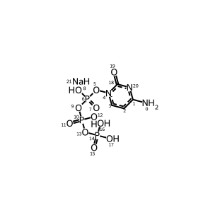 Nc1ccn(OP(=O)(O)OP(=O)(O)OP(=O)(O)O)c(=O)n1.[NaH]